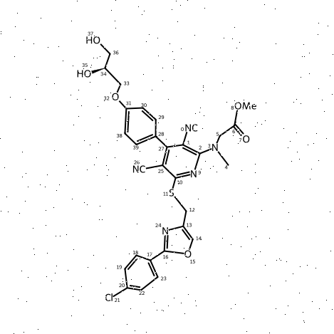 [C-]#[N+]c1c(N(C)CC(=O)OC)nc(SCc2coc(-c3ccc(Cl)cc3)n2)c(C#N)c1-c1ccc(OC[C@@H](O)CO)cc1